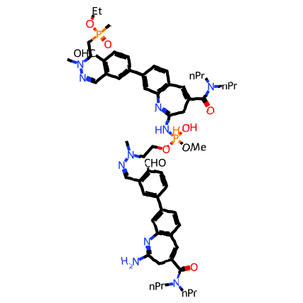 CCCN(CCC)C(=O)C1=Cc2ccc(-c3ccc(C=O)c(/C=N\N(C)CCO[PH](O)(NC4=Nc5cc(-c6ccc(C=O)c(/C=N\N(C)CCP(C)(=O)OCC)c6)ccc5C=C(C(=O)N(CCC)CCC)C4)OC)c3)cc2N=C(N)C1